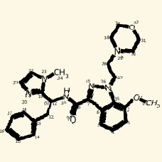 COc1cccc2c(C(=O)N[C@@H](Cc3ccccc3)c3nccn3C)nn(CCN3CCOCC3)c12